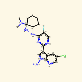 CN(C)[C@@]1(N)CCCC[C@@H]1Nc1nc(-c2cn(N)c3ncc(Cl)cc23)ncc1F